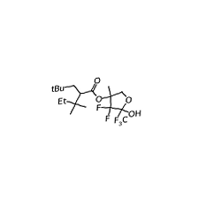 CCC(C)(C)C(CC(C)(C)C)C(=O)OC1(C)COC(O)(C(F)(F)F)C1(F)F